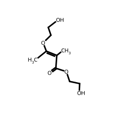 CC(OCCO)=C(C)C(=O)OCCO